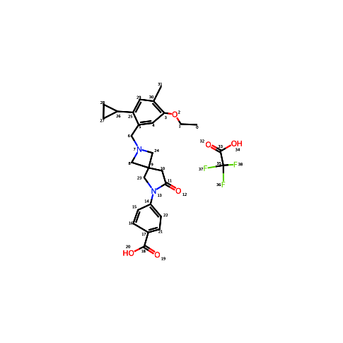 CCOc1cc(CN2CC3(CC(=O)N(c4ccc(C(=O)O)cc4)C3)C2)c(C2CC2)cc1C.O=C(O)C(F)(F)F